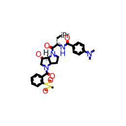 CC(C)C[C@H](NC(=O)c1ccc(N(C)C)cc1)C(=O)N1CCC2[C@H]1C(=O)CN2C(=O)c1ccccc1S(C)(=O)=O